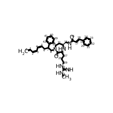 C=C/C=C\C=C/CC(CN1CC[C@@H](CNC(=O)/C=C/c2ccccc2)NC(CCCNC(=N)NC)C1=O)c1ccccc1